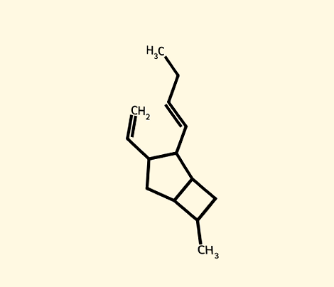 C=CC1CC2C(C)CC2C1/C=C/CC